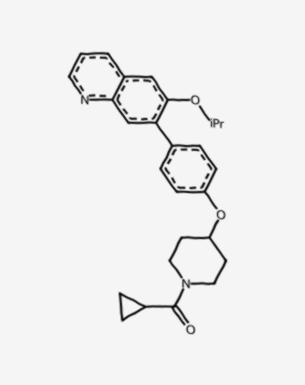 CC(C)Oc1cc2cccnc2cc1-c1ccc(OC2CCN(C(=O)C3CC3)CC2)cc1